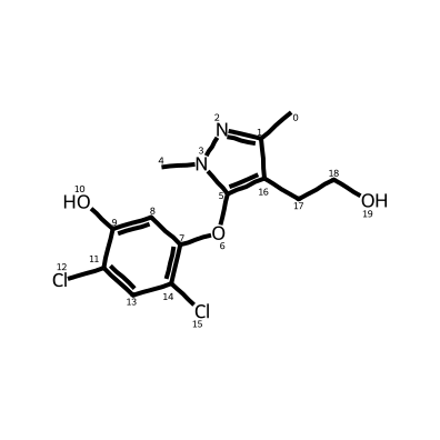 Cc1nn(C)c(Oc2cc(O)c(Cl)cc2Cl)c1CCO